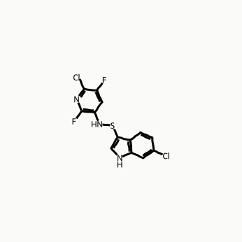 Fc1cc(NSc2c[nH]c3cc(Cl)ccc23)c(F)nc1Cl